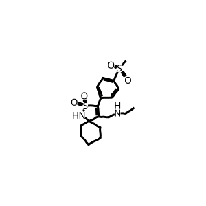 CCNCC1=C(c2ccc(S(C)(=O)=O)cc2)S(=O)(=O)NC12CCCCC2